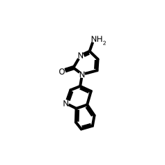 Nc1ccn(-c2cnc3ccccc3c2)c(=O)n1